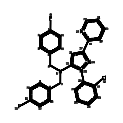 Fc1ccc(CN(Cc2ccc(F)cc2)c2cc(-c3ccccn3)nn2-c2ccccc2Cl)cc1